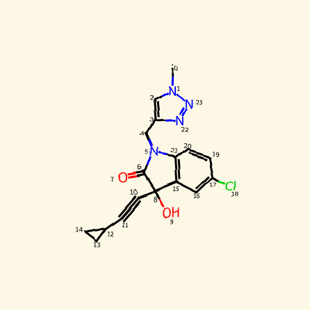 [CH2]n1cc(CN2C(=O)C(O)(C#CC3CC3)c3cc(Cl)ccc32)nn1